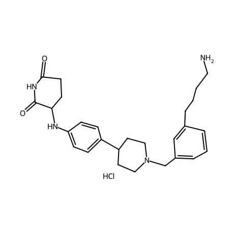 Cl.NCCCCc1cccc(CN2CCC(c3ccc(NC4CCC(=O)NC4=O)cc3)CC2)c1